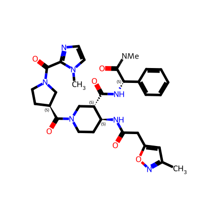 CNC(=O)[C@@H](NC(=O)[C@H]1CN(C(=O)[C@H]2CCN(C(=O)c3nccn3C)C2)CC[C@@H]1NC(=O)Cc1cc(C)no1)c1ccccc1